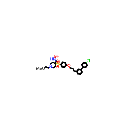 COCCN1CCC(C(=O)NO)(S(=O)(=O)c2ccc(OCCCc3cccc(-c4ccc(Cl)cc4)c3)cc2)CC1